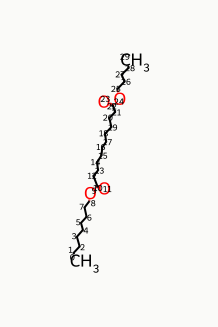 CCCCCCCCCOC(=O)CCCCCCCCCCC(=O)OCCCCC